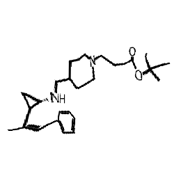 CC(=Cc1ccccc1)C1C[C@@H]1NCC1CCN(CCC(=O)OC(C)(C)C)CC1